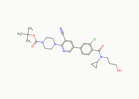 CC(C)(C)OC(=O)N1CCN(c2ncc(-c3ccc(C(=O)N(CCCO)C4CC4)c(Cl)c3)cc2C#N)CC1